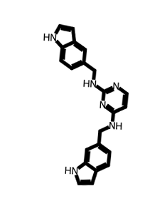 c1cc(NCc2ccc3cc[nH]c3c2)nc(NCc2ccc3[nH]ccc3c2)n1